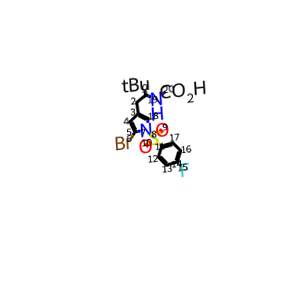 CC(C)(C)C(Cc1cc(Br)n(S(=O)(=O)c2ccc(F)cc2)c1)NC(=O)O